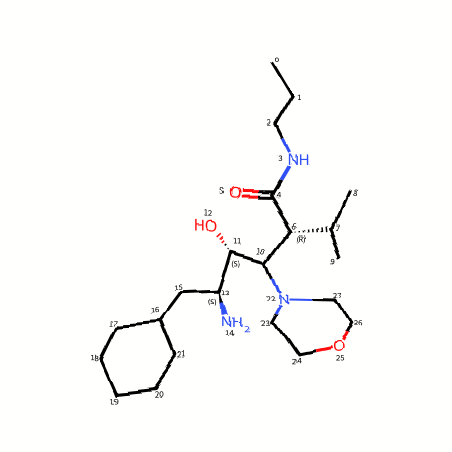 CCCNC(=O)[C@H](C(C)C)C([C@@H](O)[C@@H](N)CC1CCCCC1)N1CCOCC1